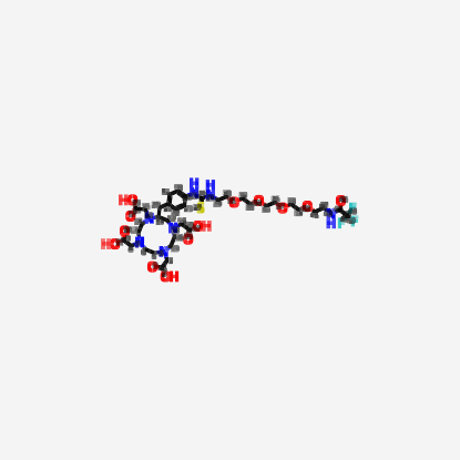 O=C(O)CN1CCN(CC(=O)O)CCN(CC(=O)O)C(Cc2ccc(NC(=S)NCCOCCOCCOCCOCCNC(=O)C(F)(F)F)cc2)CN(CC(=O)O)CC1